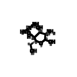 N=[N+]=N.N[C@@H]1C(O)O[C@H](CO)[C@@H](O)[C@@H]1O